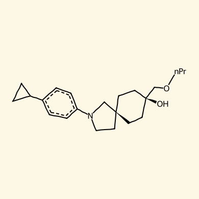 CCCOC[C@]1(O)CC[C@]2(CCN(c3ccc(C4CC4)cc3)C2)CC1